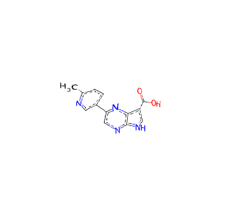 Cc1ccc(-c2cnc3[nH]cc(C(=O)O)c3n2)cn1